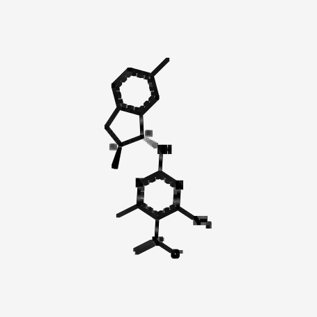 C=[N+]([O-])c1c(C)nc(N[C@H]2c3cc(C)ccc3C[C@@H]2C)nc1N